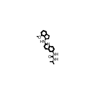 COc1cccc2c1C(Nc1ccc3cc(NC(=O)NC(C)C)ccc3n1)CC2